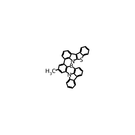 Cc1cc2c3c(c1)-n1c4ccccc4c4cccc(c41)B3n1c3sc4ccccc4c3c3cccc-2c31